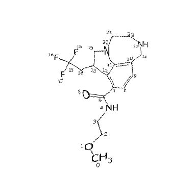 COCCNC(=O)c1ccc2c3c1C(CC(F)(F)F)CN3CCNC2